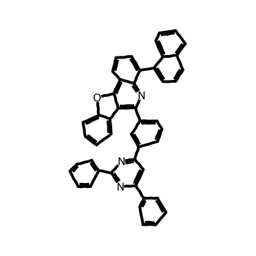 c1ccc(-c2cc(-c3cccc(-c4nc5c(-c6cccc7ccccc67)cccc5c5oc6ccccc6c45)c3)nc(-c3ccccc3)n2)cc1